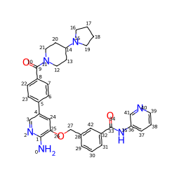 Nc1ncc(-c2ccc(C(=O)N3CCC(N4CCCC4)CC3)cc2)cc1OCc1cccc(C(=O)Nc2cccnc2)c1